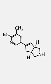 Cc1cc(C2=C[C@H]3CNC[C@H]3C2)cnc1Br